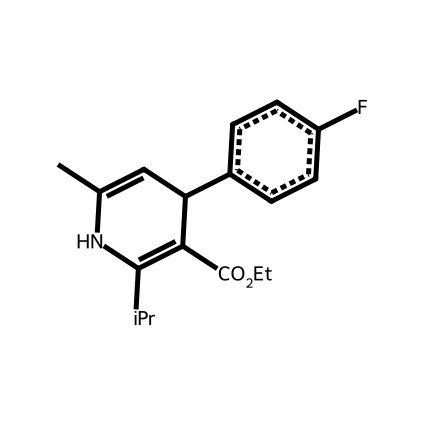 CCOC(=O)C1=C(C(C)C)NC(C)=CC1c1ccc(F)cc1